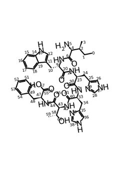 CC[C@H](C)[C@H](N)C(=O)N[C@@H](Cc1c[nH]c2ccccc12)C(=O)N[C@@H](Cc1c[nH]cn1)C(=O)N[C@@H](Cc1c[nH]cn1)C(=O)N[C@H](C(=O)N[C@@H](Cc1ccccc1)C(=O)O)[C@@H](C)O